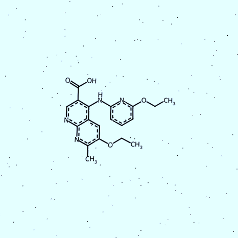 CCOc1cccc(Nc2c(C(=O)O)cnc3nc(C)c(OCC)cc23)n1